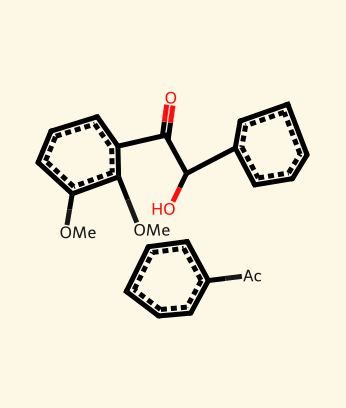 CC(=O)c1ccccc1.COc1cccc(C(=O)C(O)c2ccccc2)c1OC